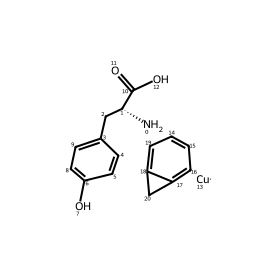 N[C@H](Cc1ccc(O)cc1)C(=O)O.[Cu].c1ccc2c(c1)C2